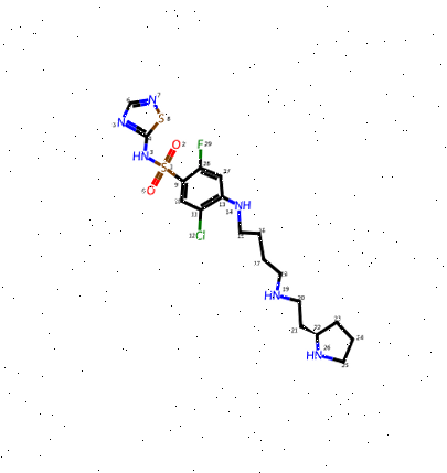 O=S(=O)(Nc1ncns1)c1cc(Cl)c(NCCCCNCC[C@H]2CCCN2)cc1F